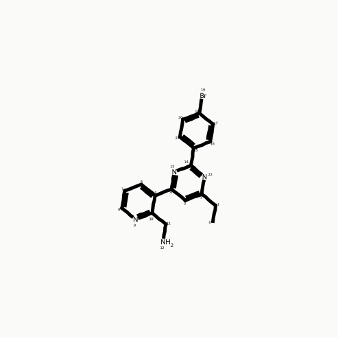 CCc1cc(-c2cccnc2CN)nc(-c2ccc(Br)cc2)n1